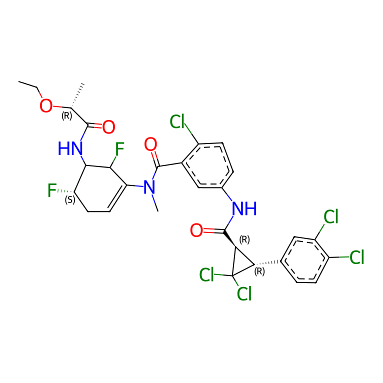 CCO[C@H](C)C(=O)NC1C(F)C(N(C)C(=O)c2cc(NC(=O)[C@H]3[C@H](c4ccc(Cl)c(Cl)c4)C3(Cl)Cl)ccc2Cl)=CC[C@@H]1F